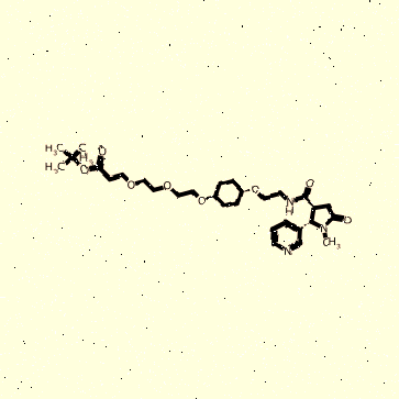 CN1C(=O)C[C@H](C(=O)NCCO[C@H]2CC[C@H](OCCOCCOCCC(=O)OC(C)(C)C)CC2)[C@H]1c1cccnc1